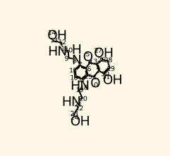 O=C1C2=C(C(=O)c3c(NCCNCCO)ccc(NCCNCCO)c31)C(O)CC=C2O